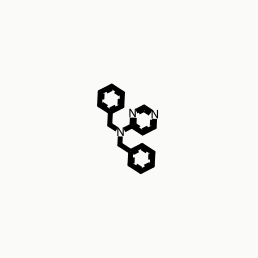 c1ccc(CN(Cc2ccccc2)c2ccncn2)cc1